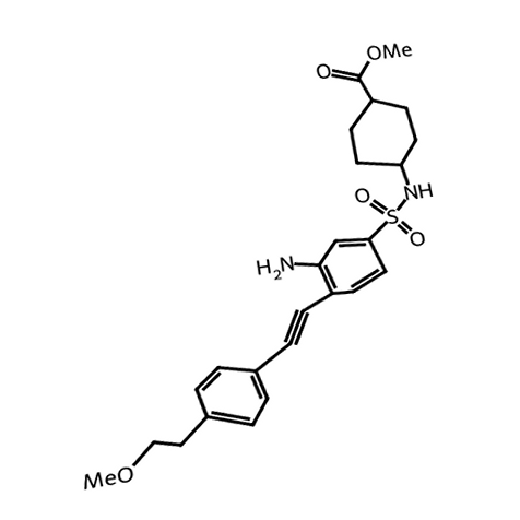 COCCc1ccc(C#Cc2ccc(S(=O)(=O)NC3CCC(C(=O)OC)CC3)cc2N)cc1